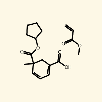 C=CC(=O)OC.CC1(C(=O)OC2CCCC2)C=CC=C(C(=O)O)C1